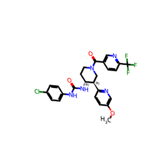 COc1ccc([C@@H]2CN(C(=O)c3ccc(C(F)(F)F)nc3)CC[C@H]2NC(=O)Nc2ccc(Cl)cc2)nc1